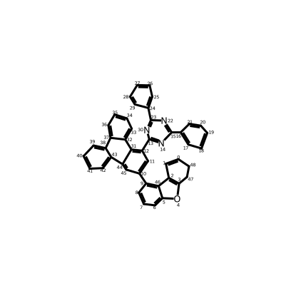 C1=Cc2c(oc3cccc(-c4cc(-c5nc(-c6ccccc6)nc(-c6ccccc6)n5)c5c6ccccc6c6ccccc6c5c4)c23)CC1